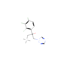 C[Si](C)(C)CC(O)(Cn1cncn1)c1ccc(Cl)c(Cl)c1Cl